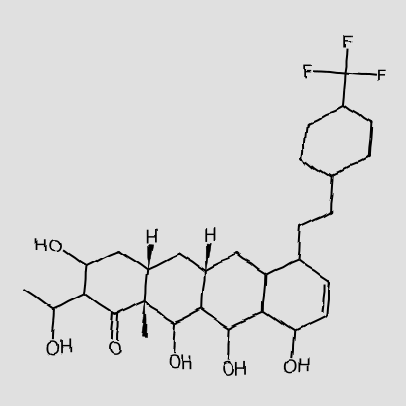 CC(O)C1C(=O)[C@@]2(C)C(O)C3C(O)C4C(O)C=CC(CCC5CCC(C(F)(F)F)CC5)C4C[C@H]3C[C@H]2CC1O